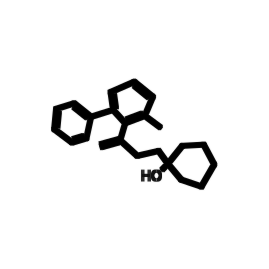 C=C(CCC1(O)CCCCC1)c1c(C)cccc1-c1ccccc1